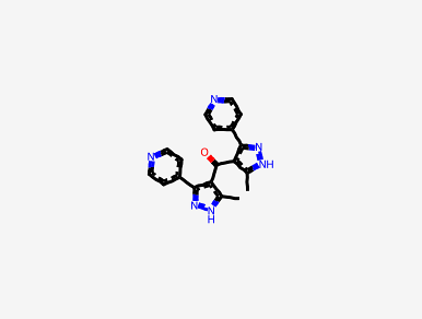 Cc1[nH]nc(-c2ccncc2)c1C(=O)c1c(-c2ccncc2)n[nH]c1C